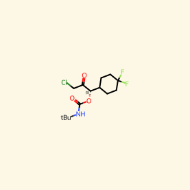 CC(C)(C)NC(=O)O[C@H](C(=O)CCl)C1CCC(F)(F)CC1